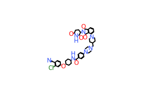 N#Cc1ccc(O[C@H]2CC[C@H](NC(=O)c3ccc(N4CCN(CC5CCN(c6cccc7c6C(=O)N(C6CCC(=O)NC6=O)C7=O)CC5)CC4)cc3)CC2)cc1Cl